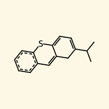 CC(C)C1=CC=C2Sc3ccccc3C=C2C1